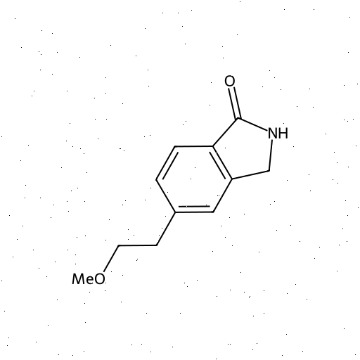 COCCc1ccc2c(c1)CNC2=O